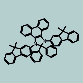 CC1(C)c2ccccc2-c2ccc(N3c4c(c5ccccc5c5ccccc45)N(c4ccc5c(c4)C(C)(C)c4ccccc4-5)C3(c3ccccc3)c3ccccc3)cc21